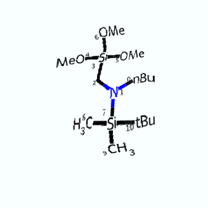 CCCCN(C[Si](OC)(OC)OC)[Si](C)(C)C(C)(C)C